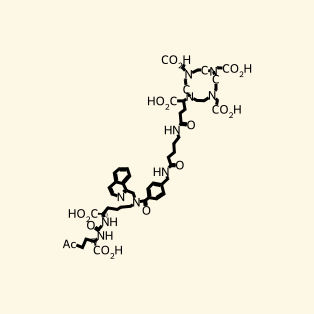 CC(=O)CC[C@@H](NC(=O)N[C@H](CCCCN(Cc1nccc2ccccc12)C(=O)c1ccc(CNC(=O)CCCCNC(=O)CCC(C(=O)O)N2CCN(CC(=O)O)CCN(CC(=O)O)CCN(CC(=O)O)CC2)cc1)C(=O)O)C(=O)O